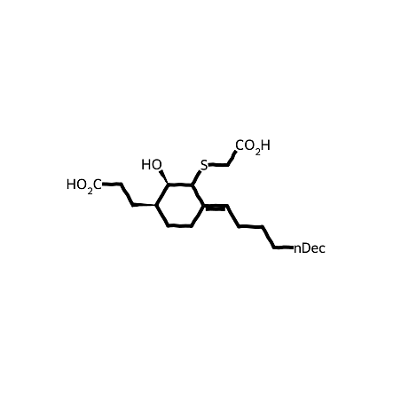 CCCCCCCCCCCCCC=C1CC[C@@H](CCC(=O)O)[C@@H](O)C1SCC(=O)O